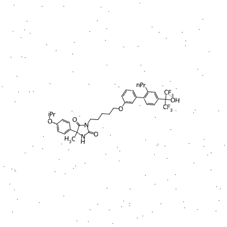 CCCc1cc(C(O)(C(F)(F)F)C(F)(F)F)ccc1-c1cccc(OCCCCCN2C(=O)NC(C)(c3ccc(OC(C)C)cc3)C2=O)c1